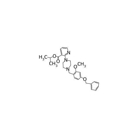 COc1cc(OCc2ccccc2)ccc1CN1CCN(c2ncccc2C(=O)OC(C)C)CC1